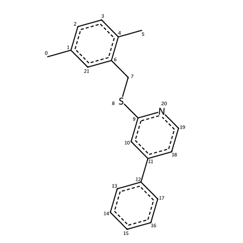 Cc1ccc(C)c(CSc2cc(-c3ccccc3)ccn2)c1